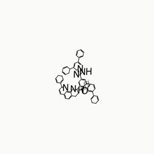 C[C@@]12C=C(C3N=C4C(C5C=CC=CC5)=CC(c5ccccc5)=CN4N3)C=C(C3=Nc4c(ccc5ccc(C6=CCCC=C6)nc45)CC3)[C@H]1Oc1cc2ccc1C1=CCCC=C1